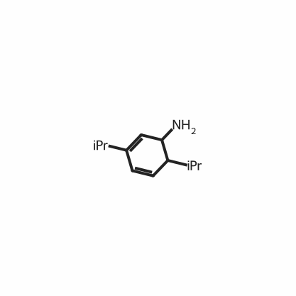 CC(C)C1=CC(N)C(C(C)C)C=C1